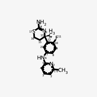 Cc1cccc(Nc2ccc(F)c([C@]3(C)CCSC(N)=N3)c2)n1